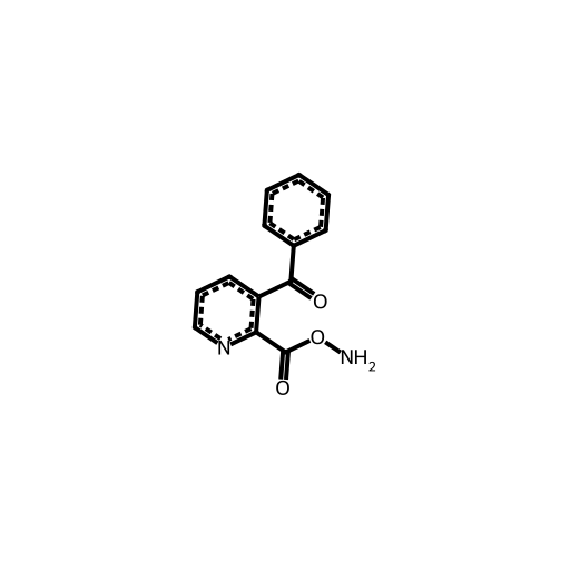 NOC(=O)c1ncccc1C(=O)c1ccccc1